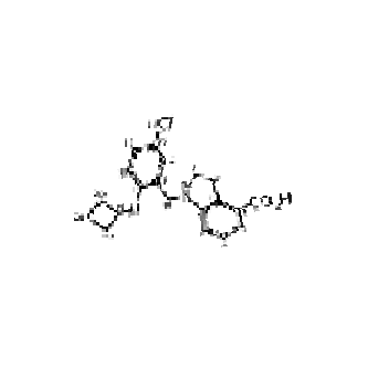 O=C(O)c1cccc2c1CCN2Cc1cc(Cl)ccc1OC1CCC1